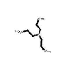 CCCCCCCCCCCCN(CCCCCCCCCCCC)CCS(=O)(=O)O